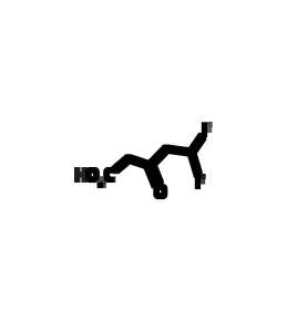 O=C(O)CC(=O)CC(F)F